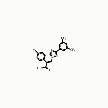 NC(=O)C(=Cn1cnc(-c2cc(C(F)(F)F)cc(C(F)(F)F)c2)n1)c1ccc(Cl)nc1